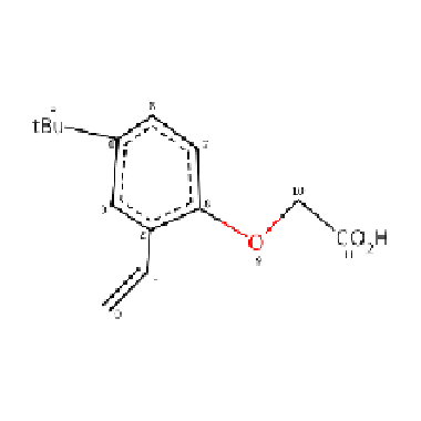 C=Cc1cc(C(C)(C)C)ccc1OCC(=O)O